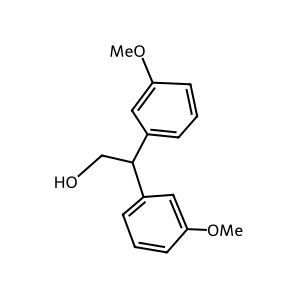 COc1cccc(C(CO)c2cccc(OC)c2)c1